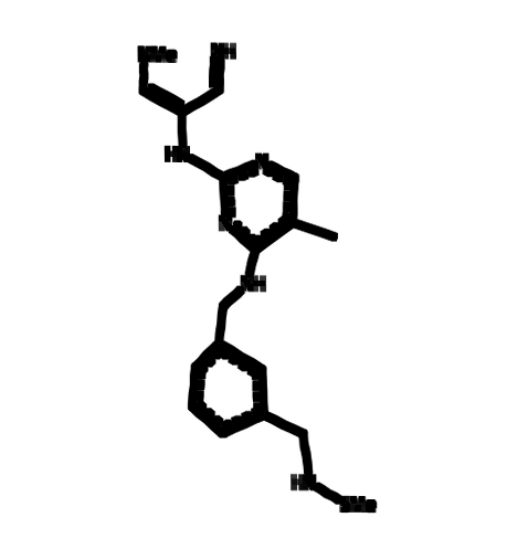 CN/C=C(\C=N)Nc1ncc(C)c(NCc2cccc(CNSC)c2)n1